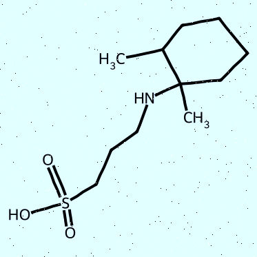 CC1CCCCC1(C)NCCCS(=O)(=O)O